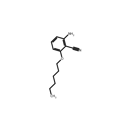 CCCCCCOc1cccc(N)c1C#N